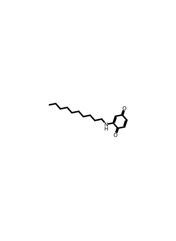 CCCCCCCCCCNC1=CC(=O)C=CC1=O